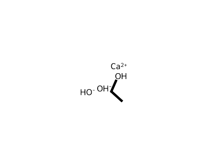 CCO.[Ca+2].[OH-].[OH-]